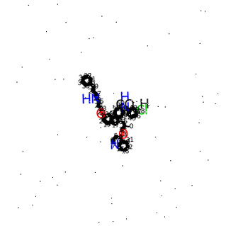 C[C@@H](COc1ccnc2c1[C@H](C)CCC2)C[C@H]1Cc2ccc(OCCCNCCCc3ccccc3)cc2C12CCC(Nc1cccc(Cl)c1)(C(=O)O)CC2